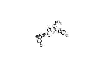 N[C@@H]1C[C@@H](c2nc(C(=O)NCc3n[nH]c4ccc(Cl)cc34)cs2)N(C(=O)c2cn3cc(Cl)ccc3n2)C1